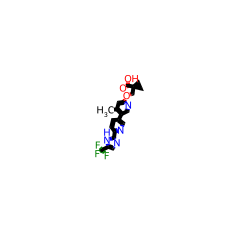 Cc1cc(OCC2(C(=O)O)CC2)ncc1-c1ccc(-c2ncc(C(F)(F)F)[nH]2)nc1